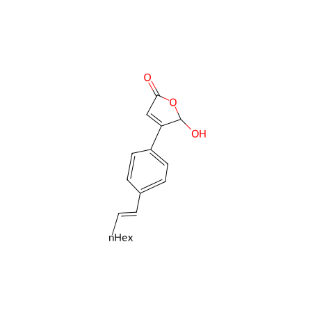 CCCCCCC=Cc1ccc(C2=CC(=O)OC2O)cc1